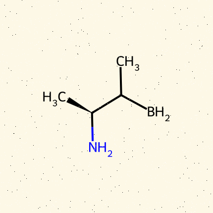 BC(C)[C@H](C)N